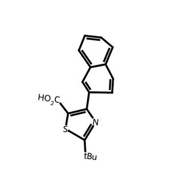 CC(C)(C)c1nc(-c2ccc3ccccc3c2)c(C(=O)O)s1